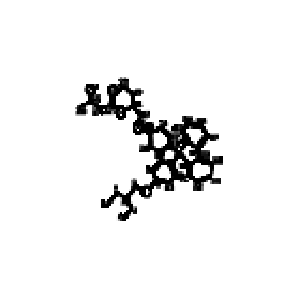 CCC(CC)COc1ccc(C2(c3ccc(OCC(CC)OC(=O)CC(C)=O)cc3)c3ccccc3-c3ccccc32)cc1